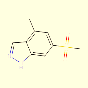 Cc1cc(S(C)(=O)=O)cc2[nH]ncc12